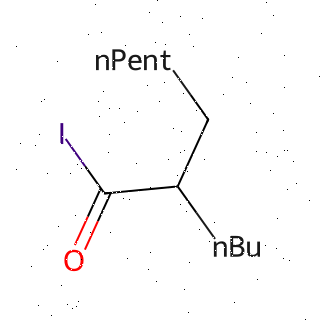 CCCCCCC(CCCC)C(=O)I